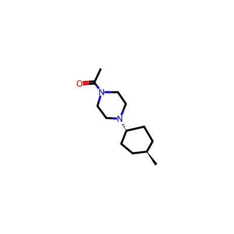 CC(=O)N1CCN([C@H]2CC[C@H](C)CC2)CC1